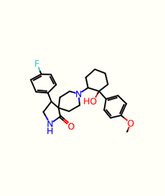 COc1ccc(C2(O)CCCCC2N2CCC3(CC2)C(=O)NCC3c2ccc(F)cc2)cc1